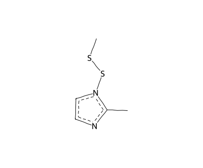 CSSn1ccnc1C